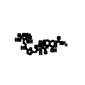 COC1(NC(=O)Cc2ccc(NCCC(P(=O)(O)O)P(=O)(O)O)s2)C(=O)N2C(C(=O)O)=C(COC(N)=O)CS[C@H]21